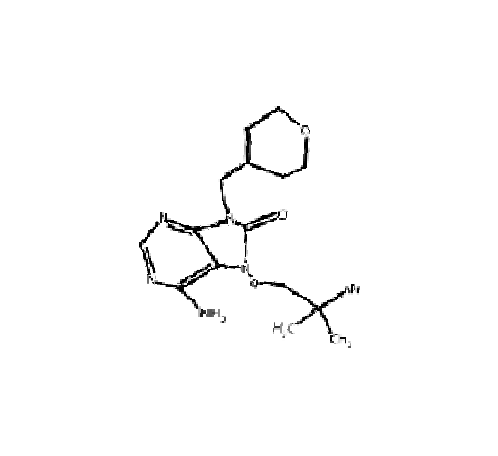 CCCC(C)(C)COn1c(=O)n(CC2CCOCC2)c2ncnc(N)c21